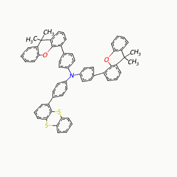 CC1(C)c2ccccc2Oc2c(-c3ccc(N(c4ccc(-c5cccc6c5Oc5ccccc5C6(C)C)cc4)c4ccc(-c5cccc6c5Sc5ccccc5S6)cc4)cc3)cccc21